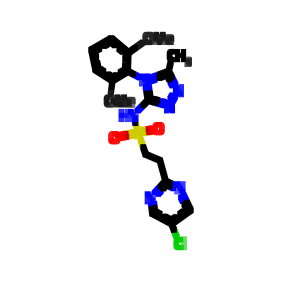 COc1cccc(OC)c1-n1c(C)nnc1NS(=O)(=O)CCc1ncc(Cl)cn1